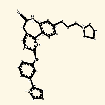 O=C1Cc2cnc(Nc3cccc(-c4cccs4)c3)nc2-c2ccc(CCCN3CCCC3)cc2N1